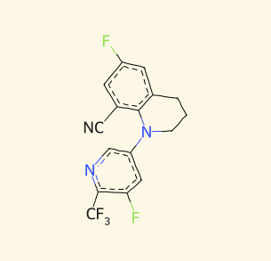 N#Cc1cc(F)cc2c1N(c1cnc(C(F)(F)F)c(F)c1)CCC2